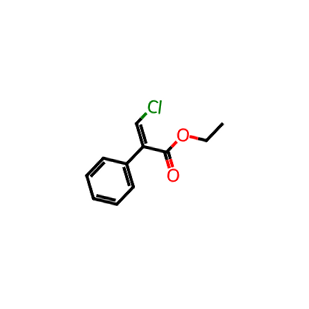 CCOC(=O)C(=CCl)c1ccccc1